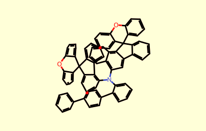 c1ccc(-c2ccc(-c3ccccc3N(c3cccc4c3-c3ccccc3C43c4ccccc4Oc4ccccc43)c3cc4c(c5ccccc35)C3(c5ccccc5Oc5ccccc53)c3ccccc3-4)cc2)cc1